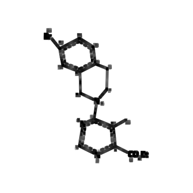 CCOC(=O)c1ncnc(N2CCc3ccc(Br)cc3C2)c1C